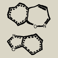 C1=Cc2ccccc2ON=C1.c1ccc2ocnc2c1